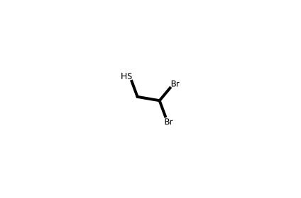 SCC(Br)Br